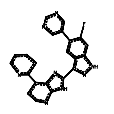 Fc1cc2[nH]nc(-c3nc4c(-c5ccccn5)ccnc4[nH]3)c2cc1-c1cncnc1